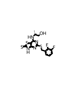 C[C@H](CO)Nc1nc(SCc2cccc(F)c2F)nc2[nH]c(=S)sc12